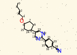 CC/C=C/COC1CCC(c2cnc(-c3ccc(C#N)cc3)nc2)CC1